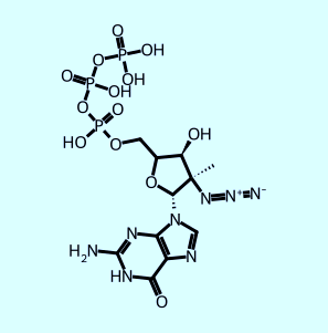 C[C@@]1(N=[N+]=[N-])[C@H](O)C(COP(=O)(O)OP(=O)(O)OP(=O)(O)O)O[C@H]1n1cnc2c(=O)[nH]c(N)nc21